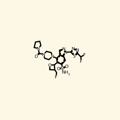 NS(=O)(=O)c1cc2c(cnn2-c2nnc(C(F)F)s2)c(N2CCN(C(=O)N3CCCC3)CC2)c1C1OCC1CF